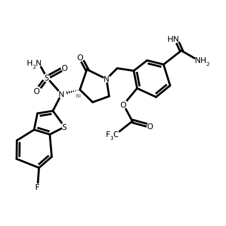 N=C(N)c1ccc(OC(=O)C(F)(F)F)c(CN2CC[C@H](N(c3cc4ccc(F)cc4s3)S(N)(=O)=O)C2=O)c1